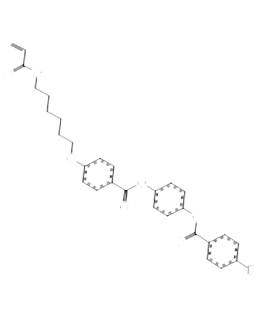 C=CC(=O)OCCCCCCOc1ccc(C(=O)Oc2ccc(OC(=O)c3ccc(CC)cc3)cc2)cc1